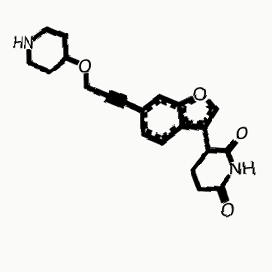 O=C1CCC(c2coc3cc(C#CCOC4CCNCC4)ccc23)C(=O)N1